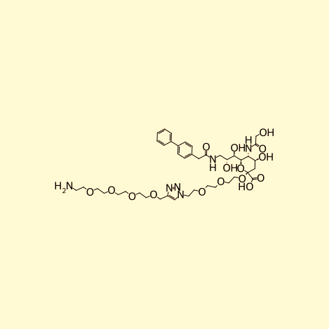 NCCOCCOCCOCCOCc1cn(CCOCCOCCO[C@]2(C(=O)O)C[C@H](O)[C@@H](NC(=O)CO)[C@H]([C@H](O)[C@H](O)CNC(=O)Cc3ccc(-c4ccccc4)cc3)O2)nn1